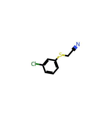 N#CCSc1cccc(Cl)c1